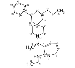 C=C(C1=CC=CCN=C1NCC)N1CCC2(CC1)CC(CCC)CC(c1ccccc1)C2